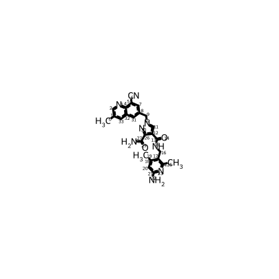 Cc1cnc2c(C#N)cc(Cn3cc(C(=O)NCc4c(C)cc(N)nc4C)c(C(N)=O)n3)cc2c1